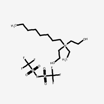 CCCCCCCC[N+](CC)(CCO)CCO.O=S(=O)([N-]S(=O)(=O)C(F)(F)F)C(F)(F)F